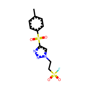 Cc1ccc(S(=O)(=O)c2cn(CCS(=O)(=O)F)nn2)cc1